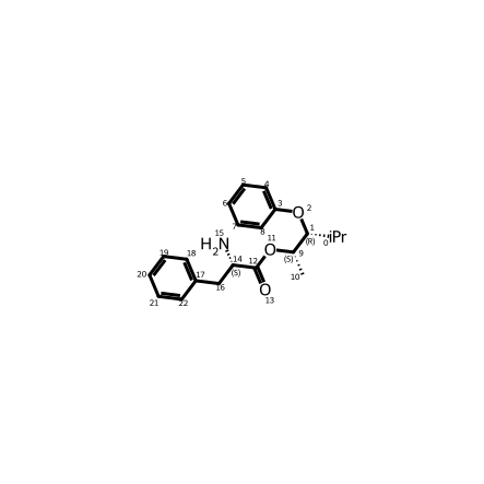 CC(C)[C@@H](Oc1ccccc1)[C@H](C)OC(=O)[C@@H](N)Cc1ccccc1